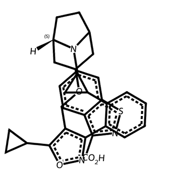 O=C(O)c1nsc2cc(N3C4CC[C@H]3CC(OCc3c(-c5ccccc5C5CC5)noc3C3CC3)C4)ccc12